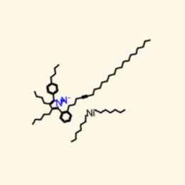 CCCCCCCCCCCCCCCCCC#CCCCc1ccccc1C1=C(CCCCC)C(CCCC)=C(c2ccc(CCCC)cc2)[N+]1=[N-].CCCCCC[CH2][Ni][CH2]CCCCCC